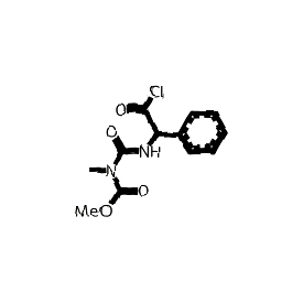 COC(=O)N(C)C(=O)NC(C(=O)Cl)c1ccccc1